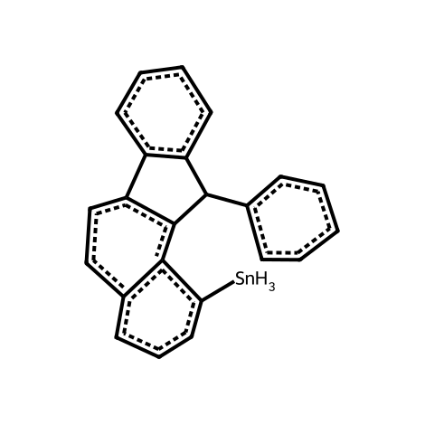 [SnH3][c]1cccc2ccc3c(c12)C(c1ccccc1)c1ccccc1-3